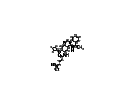 CCN(CC)CC=CC(=O)Nc1cc2c(NC(C)c3ccccc3)ncnc2cc1OC1CCC1